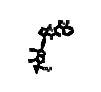 CC(OC(=O)Nc1c(C#Cc2sc3sc(C4(C(=O)O)CC4)c(C#N)c3c2C#N)cnn1C)c1ccccc1Cl